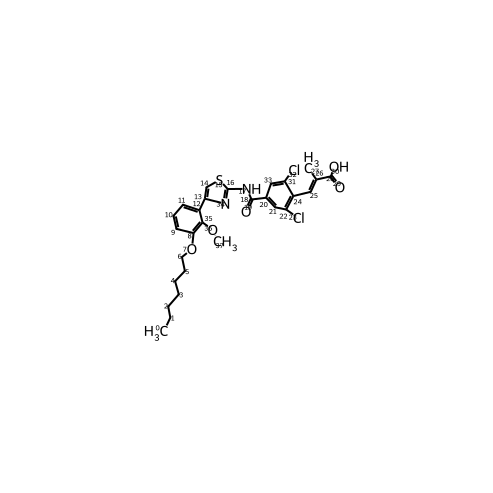 CCCCCCCOc1cccc(-c2csc(NC(=O)c3cc(Cl)c(C=C(C)C(=O)O)c(Cl)c3)n2)c1OC